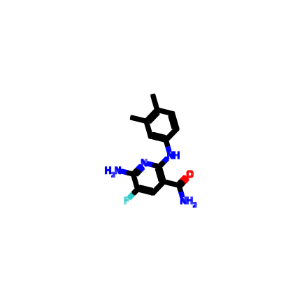 Cc1ccc(Nc2nc(N)c(F)cc2C(N)=O)cc1C